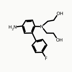 Nc1ccc(N(CCO)CCO)c(-c2ccc(F)cc2)c1